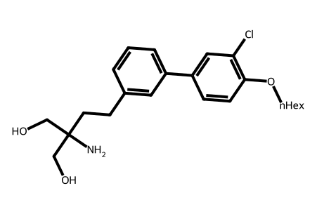 CCCCCCOc1ccc(-c2cccc(CCC(N)(CO)CO)c2)cc1Cl